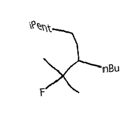 CCCCC(CC(C)CCC)C(C)(C)F